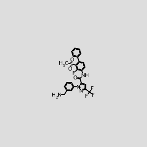 CS(=O)(=O)c1c(-c2ccccc2)ccc(NC(=O)c2cc(C(F)(F)F)nn2-c2cccc(CN)c2)c1F